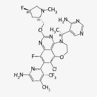 Cc1cc(N)nc(-c2c(Cl)c3c4c(nc(OC[C@@H]5C[C@@H](F)CN5C)nc4c2F)N([C@H](C)c2cncnc2N)CCO3)c1C(F)(F)F